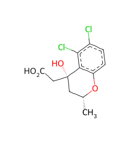 C[C@@H]1C[C@@](O)(CC(=O)O)c2c(ccc(Cl)c2Cl)O1